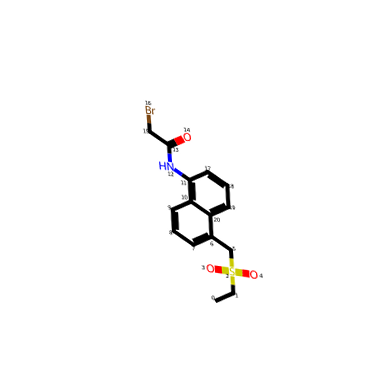 CCS(=O)(=O)Cc1cccc2c(NC(=O)CBr)cccc12